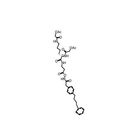 CC(=O)OCC(=O)NCCCC[C@H](NC(=O)COC(C)=O)C(=O)NCCC(=O)ONC(=O)Cc1ccc(CCCCc2ccccc2)cc1